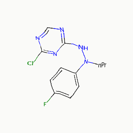 CCCN(Nc1ncnc(Cl)n1)c1ccc(F)cc1